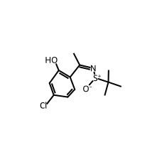 C/C(=N/[S+]([O-])C(C)(C)C)c1ccc(Cl)cc1O